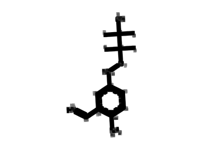 CC(C)(O)C(C)(C)OBc1ccc(N)c(C=N)c1